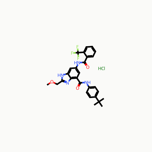 COCc1nc2c(C(=O)Nc3ccc(C(C)(C)C)cc3)cc(NC(=O)c3ccccc3C(F)(F)F)cc2[nH]1.Cl